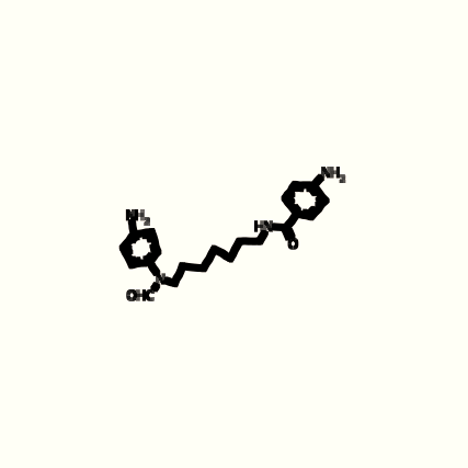 Nc1ccc(C(=O)NCCCCCCCN(C=O)c2ccc(N)cc2)cc1